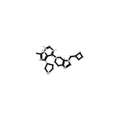 Cc1nc([C@@H]2CCOC2)c2c(N3CCc4ncn(CC5CCC5)c4C3)ncnn12